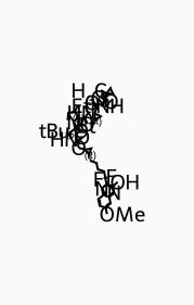 CCC1CCN(C(=O)[C@@H](NC(=O)OC2C[C@H]2CCCCC(F)(F)c2nc3ccc(OC)cc3nc2O)C(C)(C)C)[C@@H]1C(=O)NC1(C(=O)NS(=O)(=O)C2(C)CC2)C[C@H]1CC